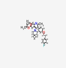 Cc1nc(C)c(-c2ccc(OCCc3ccc(F)cc3)cc2)c(N2CCC3(CCC3)CC2)c1CC(=O)OC(C)C